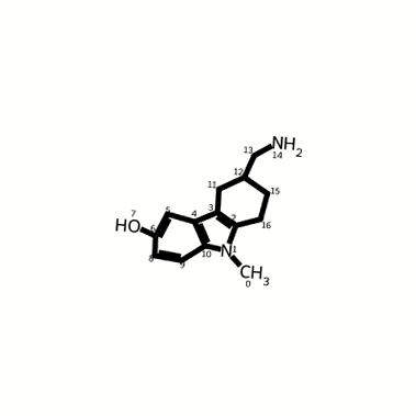 Cn1c2c(c3cc(O)ccc31)CC(CN)CC2